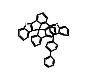 c1ccc(-c2ccc(-c3cc(-c4cccc5c4C4(c6ccccc6-c6ccccc64)c4c-5oc5ccccc45)nc4ccccc34)cc2)cc1